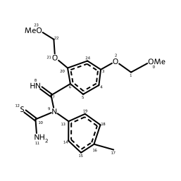 COCOc1ccc(C(=N)N(C(N)=S)c2ccc(C)cc2)c(OCOC)c1